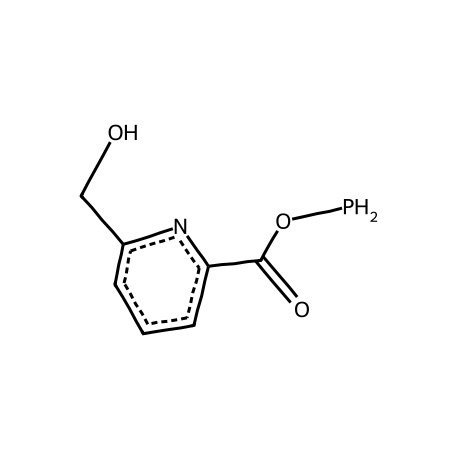 O=C(OP)c1cccc(CO)n1